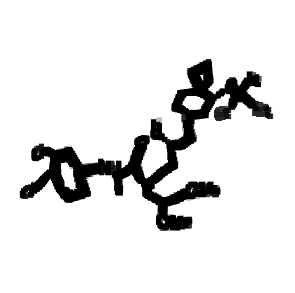 CC[Si](CC)(CC)O[C@@H]1CN(C[C@@H](O)CN(CC(OC)OC)C(=O)C(C)Nc2ccc(Cl)c(Cl)c2)CCC12CC2